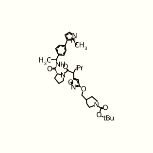 CC(C)C(C(=O)N1CCC[C@H]1C(=O)N[C@@H](C)c1ccc(-c2ccnn2C)cc1)c1cc(OCC2CCN(C(=O)OC(C)(C)C)CC2)no1